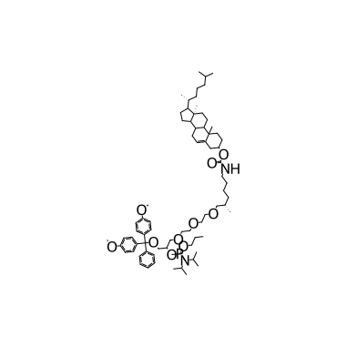 CCCOP(OC(COCCOCCOC[C@@H](C)CCCCNC(=O)OC1CCC2(C)C(=CCC3C2CC[C@@]2(C)C3CCC2[C@H](C)CCCC(C)C)C1)COC(c1ccccc1)(c1ccc(OC)cc1)c1ccc(OC)cc1)N(C(C)C)C(C)C